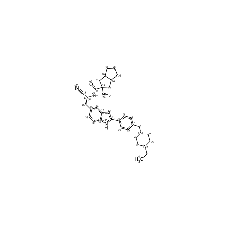 CCN1CCN(Cc2ccc(-c3cc4cc(C[C@@H](C#N)NC(=O)C5(N)CC6CCCC6C5)ccc4[nH]3)cc2)CC1